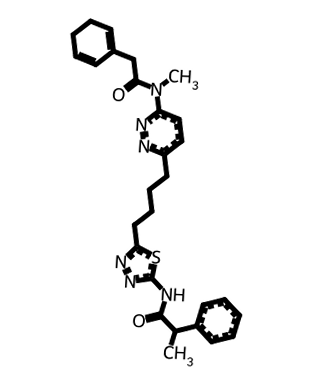 CC(C(=O)Nc1nnc(CCCCc2ccc(N(C)C(=O)CC3=CCCC=C3)nn2)s1)c1ccccc1